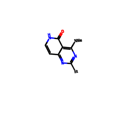 CCc1nc(NC)c2c(=O)[nH]ccc2n1